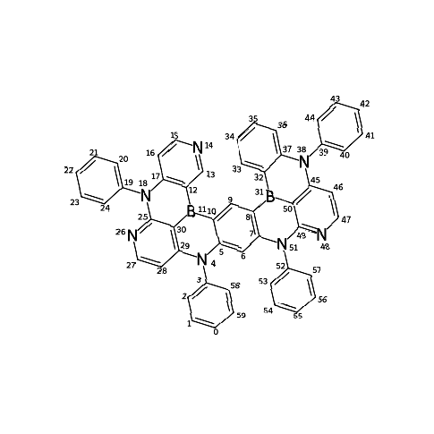 c1ccc(N2c3cc4c(cc3B3c5cnccc5N(c5ccccc5)c5nccc2c53)B2c3ccccc3N(c3ccccc3)c3ccnc(c32)N4c2ccccc2)cc1